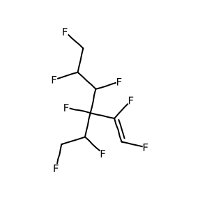 F/C=C(\F)C(F)(C(F)CF)C(F)C(F)CF